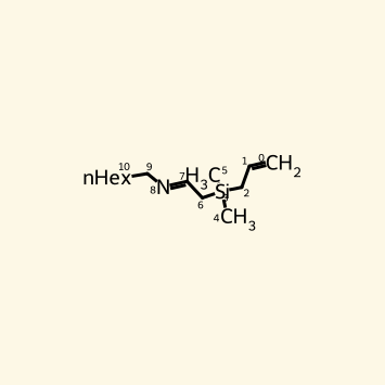 C=CC[Si](C)(C)CC=NCCCCCCC